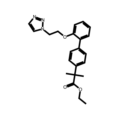 CCOC(=O)C(C)(C)c1ccc(-c2ccccc2OCCn2ccnn2)cc1